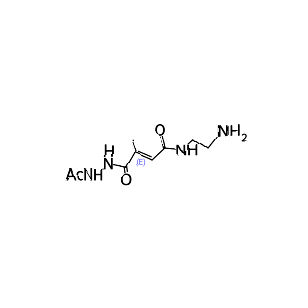 CC(=O)NNC(=O)/C(C)=C/C(=O)NCCN